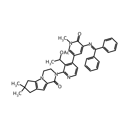 CC(=O)OC(C)c1c(-c2cc(N=C(c3ccccc3)c3ccccc3)c(=O)n(C)c2)ccnc1N1CCn2c(cc3c2CC(C)(C)C3)C1=O